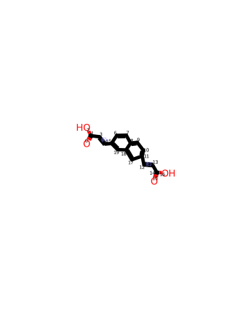 O=C(O)/C=C/c1ccc2ccc(/C=C/C(=O)O)cc2c1